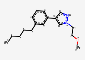 CC(C)CCCCc1cccc(-c2cnn(CCOC(C)C)c2)c1